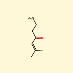 CNCCC(=O)C=C(C)C